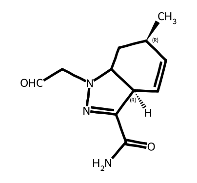 C[C@H]1C=C[C@H]2C(C(N)=O)=NN(CC=O)C2C1